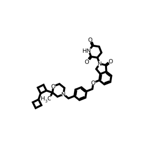 CC1(C2CCC2C2CCC2)CN(Cc2ccc(COc3cccc4c3CN(C3CCC(=O)NC3=O)C4=O)cc2)CCO1